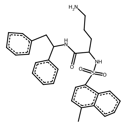 Cc1ccc(S(=O)(=O)NC(CCCN)C(=O)NC(Cc2ccccc2)c2ccccc2)c2ccccc12